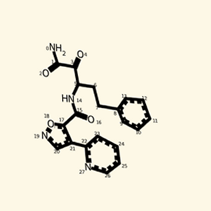 NC(=O)C(=O)C(CCc1ccccc1)NC(=O)c1oncc1-c1ccccn1